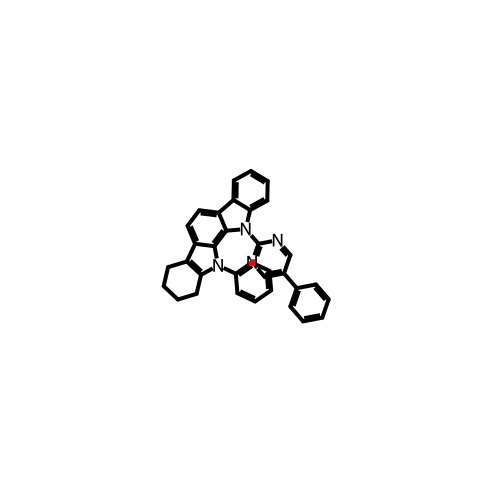 c1ccc(-c2cnc(-n3c4ccccc4c4ccc5c6c(n(-c7ccccc7)c5c43)CCCC6)nc2)cc1